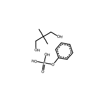 CC(C)(CO)CO.O=P(O)(O)Oc1ccccc1